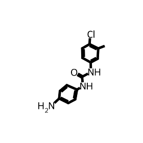 Cc1cc(NC(=O)Nc2ccc(N)cc2)ccc1Cl